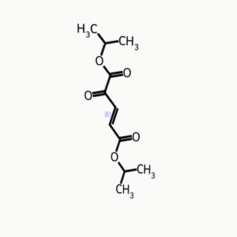 CC(C)OC(=O)/C=C/C(=O)C(=O)OC(C)C